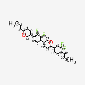 CCCC1CCC(c2ccc(C3CCC(C4CCC(CCC)C(F)(F)C4)OC3)c(F)c2F)CO1